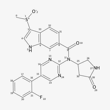 C[S+]([O-])c1c[nH]c2cc(C(=O)N(c3ncc(-c4ccccc4F)cn3)C3CNC(=O)C3)ccc12